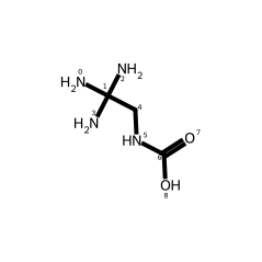 NC(N)(N)CNC(=O)O